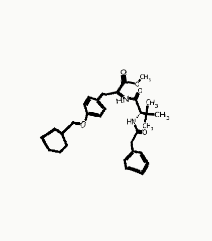 COC(=O)C(Cc1ccc(OCC2CCCCC2)cc1)NC(=O)[C@@H](NC(=O)Cc1ccccc1)C(C)(C)C